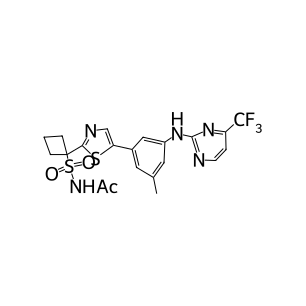 CC(=O)NS(=O)(=O)C1(c2ncc(-c3cc(C)cc(Nc4nccc(C(F)(F)F)n4)c3)s2)CCC1